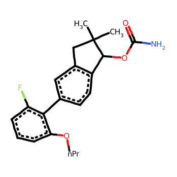 CCCOc1cccc(F)c1-c1ccc2c(c1)CC(C)(C)C2OC(N)=O